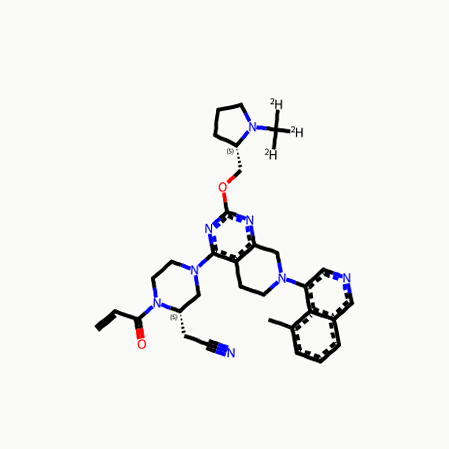 [2H]C([2H])([2H])N1CCC[C@H]1COc1nc2c(c(N3CCN(C(=O)C=C)[C@@H](CC#N)C3)n1)CCN(c1cncc3cccc(C)c13)C2